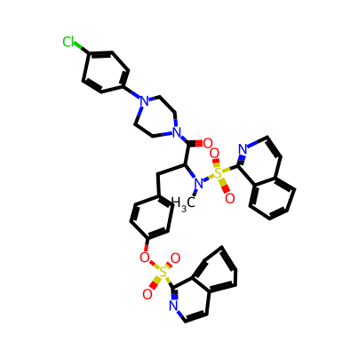 CN(C(Cc1ccc(OS(=O)(=O)c2nccc3ccccc23)cc1)C(=O)N1CCN(c2ccc(Cl)cc2)CC1)S(=O)(=O)c1nccc2ccccc12